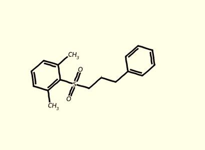 Cc1cccc(C)c1S(=O)(=O)C[CH]Cc1ccccc1